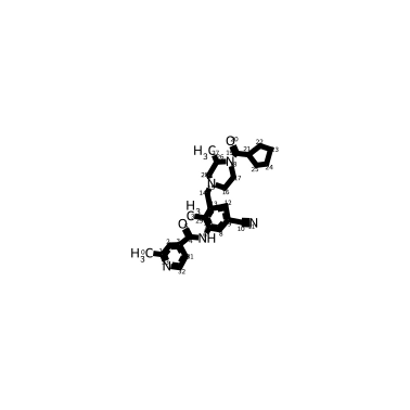 Cc1cc(C(=O)Nc2cc(C#N)cc(CN3CCN(C(=O)C4CCCC4)C(C)C3)c2C)ccn1